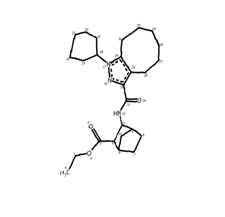 CCOC(=O)C1C2CCC(C2)C1NC(=O)c1nn(C2CCCCC2)c2c1CCCCCC2